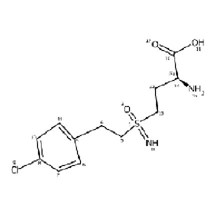 N=S(=O)(CCc1ccc(Cl)cc1)CC[C@H](N)C(=O)O